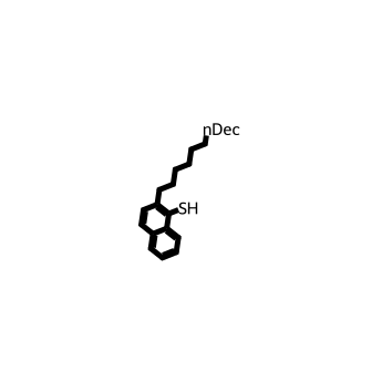 CCCCCCCCCCCCCCCCc1ccc2ccccc2c1S